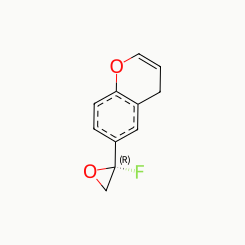 F[C@]1(c2ccc3c(c2)CC=CO3)CO1